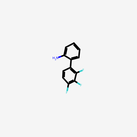 Nc1ccccc1-c1ccc(F)c(F)c1F